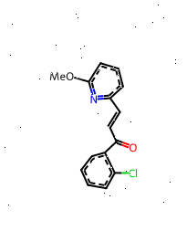 COc1cccc(C=CC(=O)c2ccccc2Cl)n1